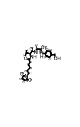 CC(C)[C@H](NC(=O)CCCCCN1C(=O)C=CC1=O)C(=O)N[C@@H](C)C(=O)Nc1ccc(CO)cc1F